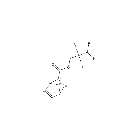 O=C(OCC(F)(F)C(F)F)C1CC2C=CC1C2